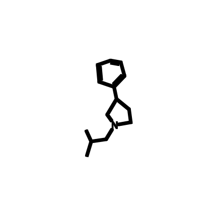 CC(C)CN1CCC(c2ccccc2)C1